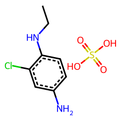 CCNc1ccc(N)cc1Cl.O=S(=O)(O)O